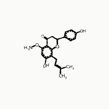 CC(C)=CCc1c(O)cc(ON)c2c1OC(c1ccc(O)cc1)CC2=O